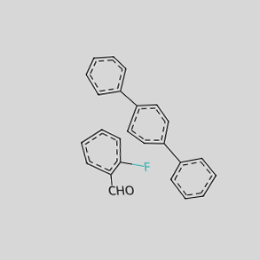 O=Cc1ccccc1F.c1ccc(-c2ccc(-c3ccccc3)cc2)cc1